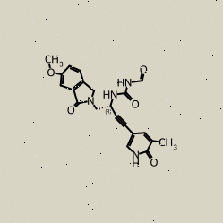 COc1ccc2c(c1)C(=O)N(C[C@@H](C#Cc1c[nH]c(=O)c(C)c1)NC(=O)NC=O)C2